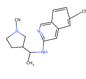 CC(Nc1cc2cc(C#N)ccc2cn1)C1CCN(C#N)C1